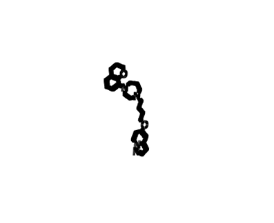 c1cc2c(c(N3CCCN(CCCCOc4ccn5nccc5c4)CC3)c1)OCCC2